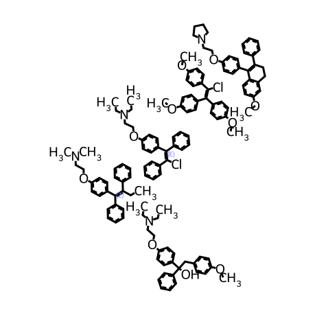 CC/C(=C(\c1ccccc1)c1ccc(OCCN(C)C)cc1)c1ccccc1.CCN(CC)CCOc1ccc(/C(=C(/Cl)c2ccccc2)c2ccccc2)cc1.CCN(CC)CCOc1ccc(C(O)(Cc2ccc(OC)cc2)c2ccccc2)cc1.COc1ccc(C(Cl)=C(c2ccc(OC)cc2)c2ccc(OC)cc2)cc1.COc1ccc2c(c1)CCC(c1ccccc1)=C2c1ccc(OCCN2CCCC2)cc1